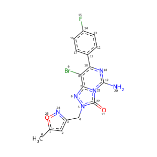 Cc1cc(Cn2nc3c(Br)c(-c4ccc(F)cc4)nc(N)n3c2=O)no1